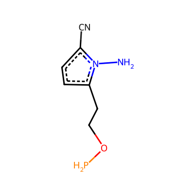 N#Cc1ccc(CCOP)n1N